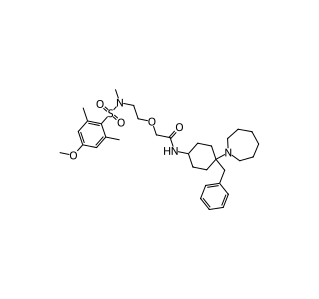 COc1cc(C)c(S(=O)(=O)N(C)CCOCC(=O)NC2CCC(Cc3ccccc3)(N3CCCCCC3)CC2)c(C)c1